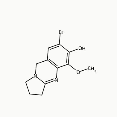 COc1c(O)c(Br)cc2c1N=C1CCCN1C2